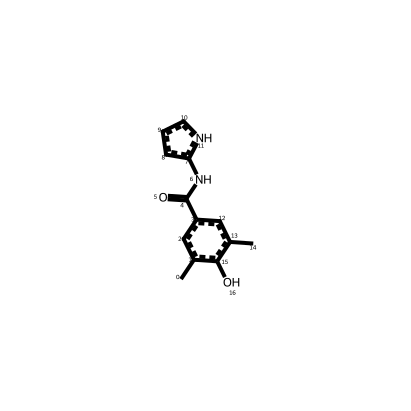 Cc1cc(C(=O)Nc2ccc[nH]2)cc(C)c1O